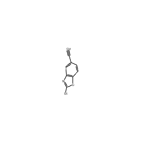 C#Cc1ccc2oc(CC)nc2c1